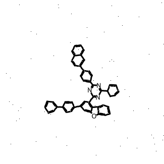 C1=CCC(c2nc(-c3ccc(-c4ccc5ccccc5c4)cc3)nc(-c3cc(-c4ccc(-c5ccccc5)cc4)cc4oc5ccccc5c34)n2)C=C1